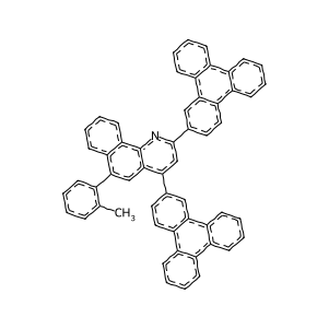 Cc1ccccc1-c1cc2c(-c3ccc4c5ccccc5c5ccccc5c4c3)cc(-c3ccc4c5ccccc5c5ccccc5c4c3)nc2c2ccccc12